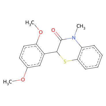 COc1ccc(OC)c(C2Sc3ccccc3N(C)C2=O)c1